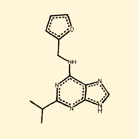 CC(C)c1nc(NCc2ccco2)c2nc[nH]c2n1